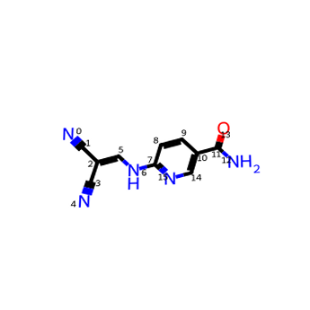 N#CC(C#N)=CNc1ccc(C(N)=O)cn1